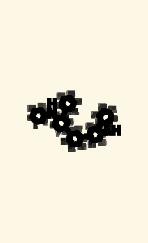 c1ccc(Nc2ccc(-c3cccc(-c4ccc5[nH]c6ccccc6c5c4)c3)cc2-c2ccccc2)cc1